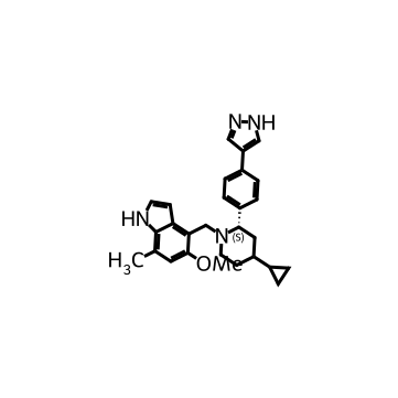 COc1cc(C)c2[nH]ccc2c1CN1CCC(C2CC2)C[C@H]1c1ccc(-c2cn[nH]c2)cc1